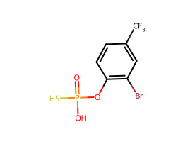 O=P(O)(S)Oc1ccc(C(F)(F)F)cc1Br